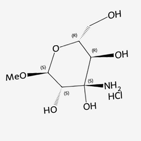 CO[C@H]1O[C@H](CO)[C@@H](O)[C@](N)(O)[C@@H]1O.Cl